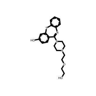 OCCOCCN1CCN(C2=Nc3ccccc3Sc3cc(O)ccc32)CC1